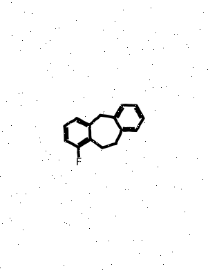 Fc1cccc2c1CCc1ccccc1C2